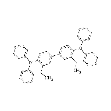 CCc1cc(-c2ccc(N(c3ccccc3)c3ccccc3)c(CC)c2)ccc1N(c1ccccc1)c1ccccc1